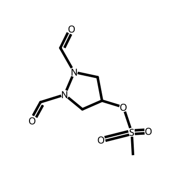 CS(=O)(=O)OC1CN(C=O)N(C=O)C1